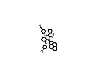 CN(C)c1ccc(N2c3cccc4c3P(=O)(c3cc5ccc6cccc7ccc(c32)c5c67)c2nnc3ccccc3c2N4c2ccc(C#N)cc2)cc1